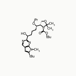 CC(C)O[C@H](CCCC(O)c1ncc2cc(C(C)(C)C)n(C)c2n1)[C@@H]1COC(C)(C)N1C(=O)OC(C)(C)C